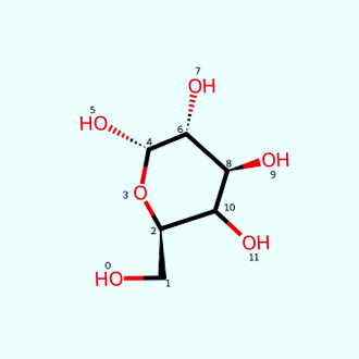 OC[C@H]1O[C@H](O)[C@H](O)[C@@H](O)C1O